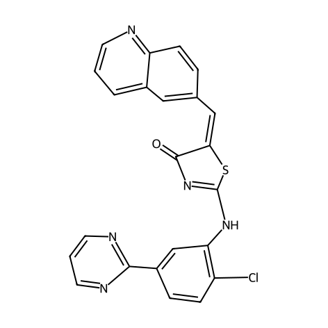 O=C1N=C(Nc2cc(-c3ncccn3)ccc2Cl)SC1=Cc1ccc2ncccc2c1